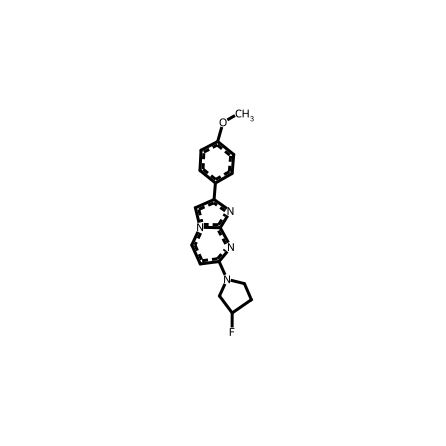 COc1ccc(-c2cn3ccc(N4CCC(F)C4)nc3n2)cc1